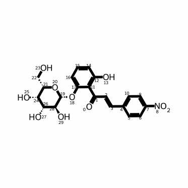 O=C(/C=C/c1ccc([N+](=O)[O-])cc1)c1c(O)cccc1O[C@H]1O[C@@H](CO)[C@@H](O)[C@@H](O)[C@@H]1O